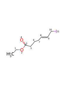 CCOC(=O)CCCC=CCI